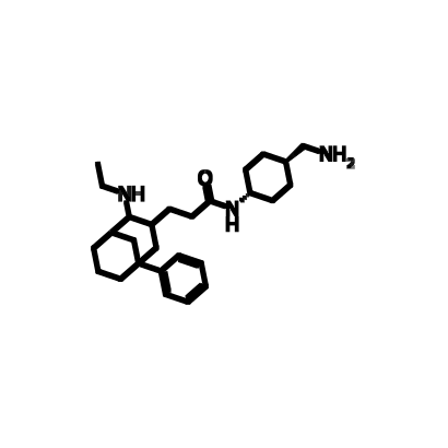 CCNC1C2CCCC(c3ccccc3)(C2)CC1CCC(=O)N[C@H]1CC[C@H](CN)CC1